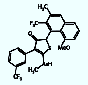 COc1cccc2cc(C)c(C(F)(F)F)c(C3SC([AsH]C)=C(c4cccc(C(F)(F)F)c4)C3=O)c12